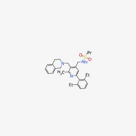 CCc1cccc(CC)c1-c1cc(CNS(=O)(=O)C(C)C)c(CN2CCc3ccccc3C2)c(C)n1